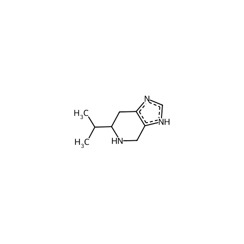 CC(C)C1Cc2nc[nH]c2CN1